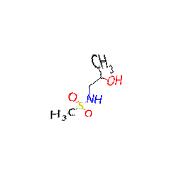 CC(O)CNS(C)(=O)=O